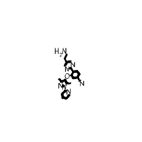 Cc1nn(-c2ccccn2)c(C)c1Oc1cc(C#N)ccc1-c1ncc(CCN)cn1